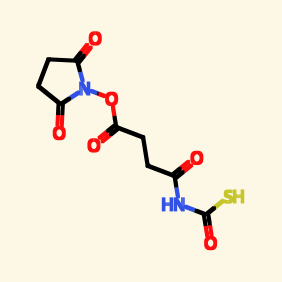 O=C(S)NC(=O)CCC(=O)ON1C(=O)CCC1=O